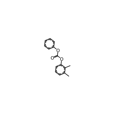 Cc1cccc(OC(=O)Oc2ccccc2)c1C